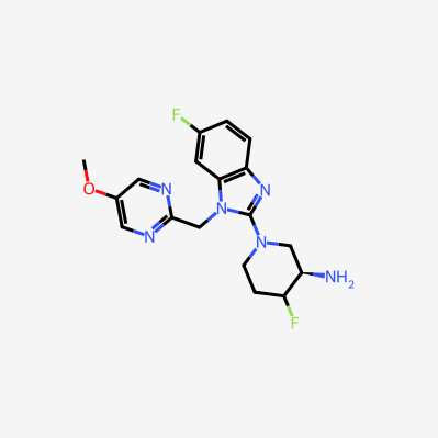 COc1cnc(Cn2c(N3CCC(F)[C@H](N)C3)nc3ccc(F)cc32)nc1